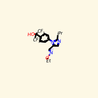 CCO/N=C/c1cnc(C(C)C)n1-c1ccc(C(O)(C(F)(F)F)C(F)(F)F)cc1